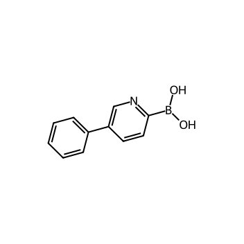 OB(O)c1ccc(-c2ccccc2)cn1